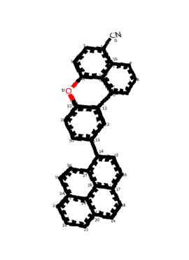 N#Cc1ccc2c3c(cccc13)-c1cc(-c3ccc4ccc5cccc6ccc3c4c56)ccc1O2